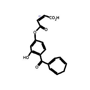 O=C(O)/C=C\C(=O)Oc1ccc(C(=O)C2=CC=CCC=C2)c(O)c1